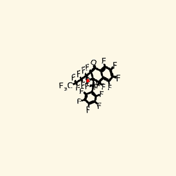 O=C1c2c(F)c(F)c(F)c(F)c2C(F)(F)C(F)(C(F)(F)c2c(F)c(F)c(F)c(F)c2F)C1(F)C(F)(F)C(F)(F)C(F)(F)C(F)(F)F